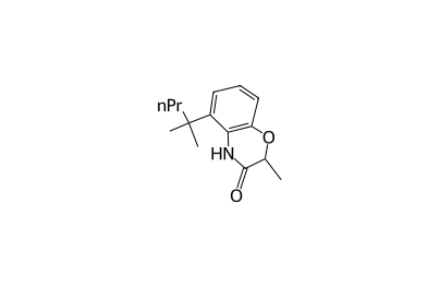 CCCC(C)(C)c1cccc2c1NC(=O)C(C)O2